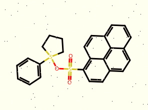 O=S(=O)(OS1(c2ccccc2)CCCC1)c1ccc2ccc3cccc4ccc1c2c34